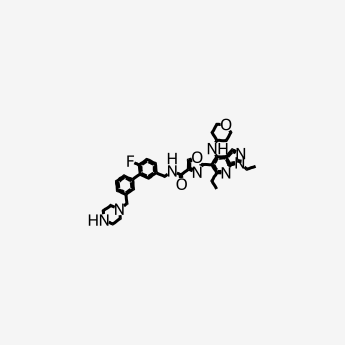 CCc1nc2c(cnn2CC)c(NC2CCOCC2)c1-c1nc(C(=O)NCc2ccc(F)c(-c3cccc(CN4CCNCC4)c3)c2)co1